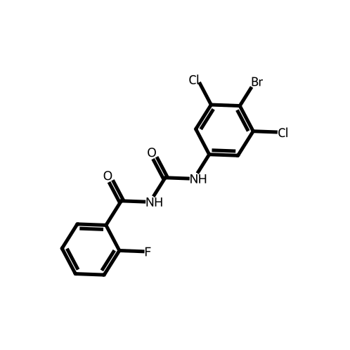 O=C(NC(=O)c1ccccc1F)Nc1cc(Cl)c(Br)c(Cl)c1